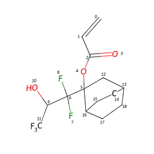 C=CC(=O)OC1(C(F)(F)C(O)C(F)(F)F)CC2CCC1CC2